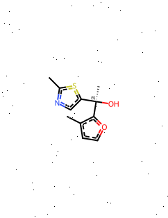 Cc1ncc([C@@](C)(O)c2occc2C)s1